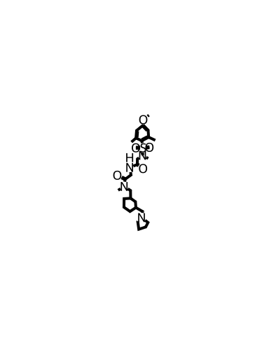 COc1cc(C)c(S(=O)(=O)N(C)CC(=O)NCC(=O)N(C)CC2CCCC(CN3CCCC3)C2)c(C)c1